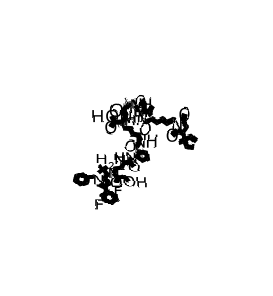 CCC(C)(CC)C1CC(=O)N(CCCCCC(=O)N[C@@](C=O)(CN[C@@H](C)C(=O)N[C@@H](CCCCNC(=O)[C@@H]2CCC[C@@H]2NC(=O)[C@@H](N)CCN(C(=O)CO)[C@@H](c2cc(-c3cc(F)ccc3F)cn2Cc2ccccc2)C(C)(C)C)C(=O)O)C(C)C)C1=O